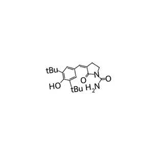 CC(C)(C)c1cc(C=C2CCN(C(N)=O)C2=O)cc(C(C)(C)C)c1O